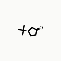 CC(C)(C)[C@@H]1CCC(=O)C1